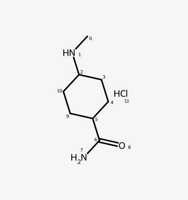 CNC1CCC(C(N)=O)CC1.Cl